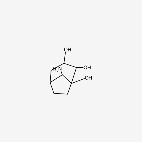 NC1C2CCC1(O)C(O)C(O)C2